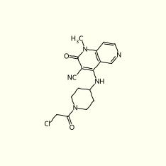 Cn1c(=O)c(C#N)c(NC2CCN(C(=O)CCl)CC2)c2cnccc21